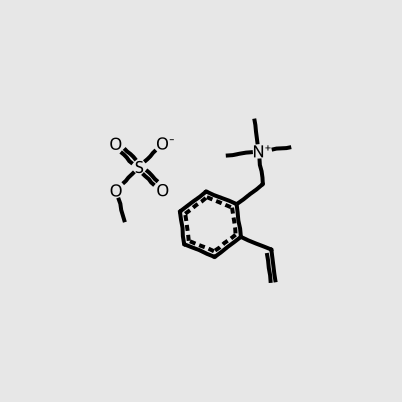 C=Cc1ccccc1C[N+](C)(C)C.COS(=O)(=O)[O-]